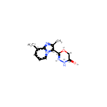 Cc1nc2c(C)cccn2c1C1=NNC(=O)CO1